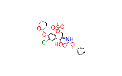 CS(=O)(=O)OC[C@@H](NC(=O)OCc1ccccc1)C(O)c1ccc(OC2CCCCO2)c(Cl)c1